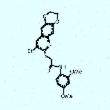 CCc1cc2cc3c(cc2nc1SCC(=O)Nc1ccc(OC)cc1OC)OCCO3